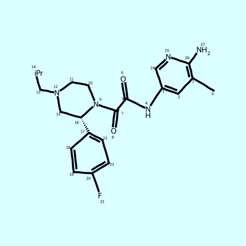 Cc1cc(NC(=O)C(=O)N2CCN(CC(C)C)C[C@H]2c2ccc(F)cc2)cnc1N